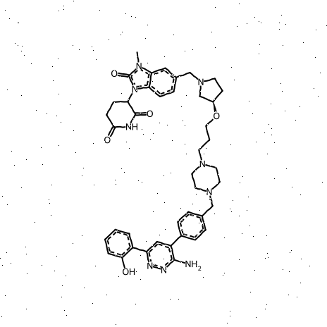 Cn1c(=O)n(C2CCC(=O)NC2=O)c2ccc(CN3CC[C@@H](OCCCN4CCN(Cc5ccc(-c6cc(-c7ccccc7O)nnc6N)cc5)CC4)C3)cc21